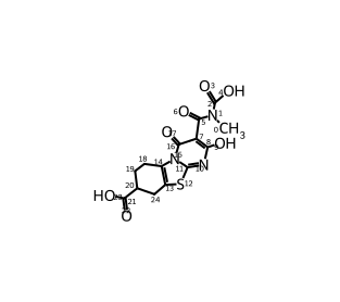 CN(C(=O)O)C(=O)c1c(O)nc2sc3c(n2c1=O)CCC(C(=O)O)C3